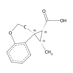 C[C@H]1[C@@H](C(=O)O)[C@@]12CCOc1ccccc12